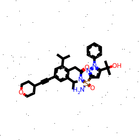 CC(C)c1cc(C#CC2CCOCC2)cc(C(C)C)c1CC(=O)N=S(N)(=O)c1cc(C(C)(C)O)n(-c2ccccc2)n1